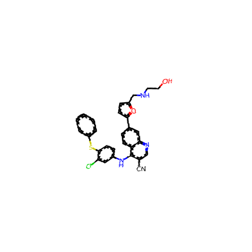 N#Cc1cnc2cc(-c3ccc(CNCCO)o3)ccc2c1Nc1ccc(Sc2ccccc2)c(Cl)c1